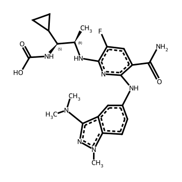 C[C@@H](Nc1nc(Nc2ccc3c(c2)c(N(C)C)nn3C)c(C(N)=O)cc1F)[C@@H](NC(=O)O)C1CC1